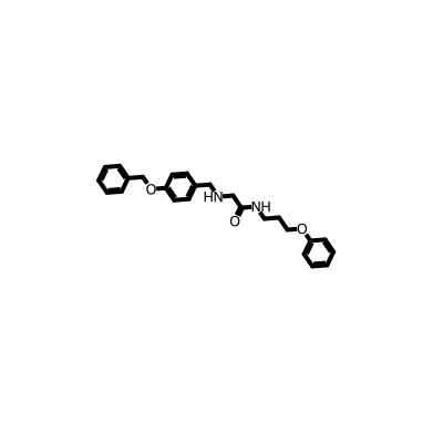 O=C(CNCc1ccc(OCc2ccccc2)cc1)NCCCOc1ccccc1